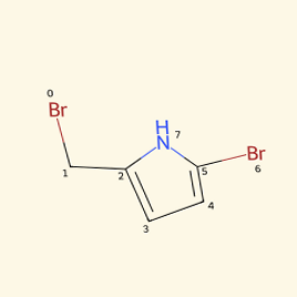 BrCc1ccc(Br)[nH]1